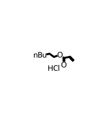 C=CC(=O)OCCCCCC.Cl